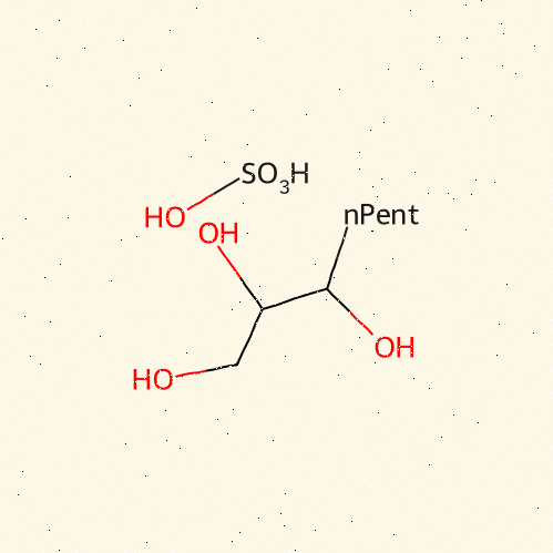 CCCCCC(O)C(O)CO.O=S(=O)(O)O